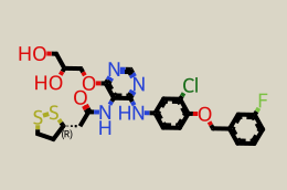 O=C(C[C@@H]1CCSS1)Nc1c(Nc2ccc(OCc3cccc(F)c3)c(Cl)c2)ncnc1OCC(O)CO